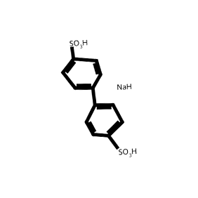 O=S(=O)(O)c1ccc(-c2ccc(S(=O)(=O)O)cc2)cc1.[NaH]